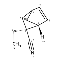 CC[C@]1(C#N)CC2C=C[C@H]1C2